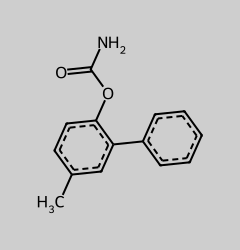 Cc1ccc(OC(N)=O)c(-c2ccccc2)c1